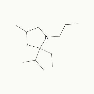 CCCN1CC(C)CC1(CC)C(C)C